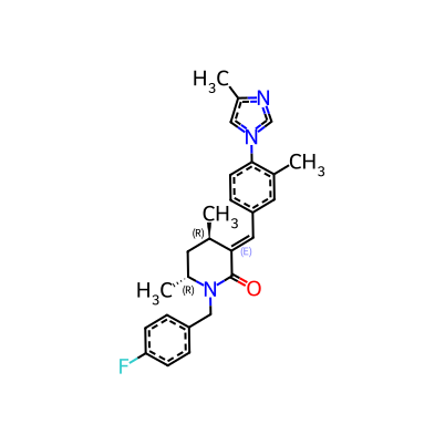 Cc1cn(-c2ccc(/C=C3/C(=O)N(Cc4ccc(F)cc4)[C@H](C)C[C@H]3C)cc2C)cn1